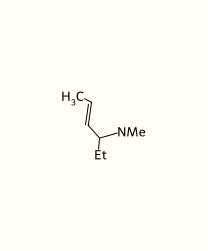 CC=CC(CC)NC